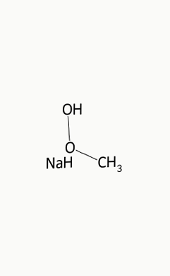 COO.[NaH]